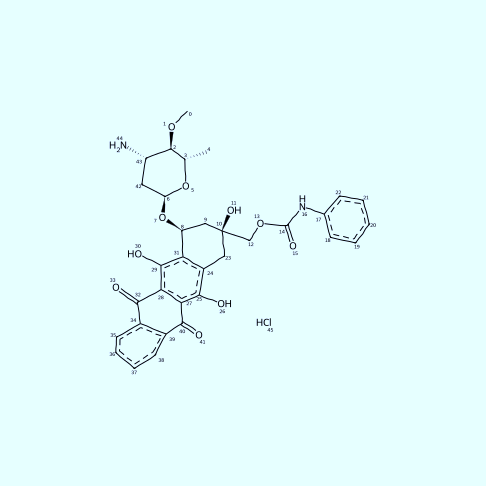 CO[C@H]1[C@H](C)O[C@@H](O[C@H]2C[C@](O)(COC(=O)Nc3ccccc3)Cc3c(O)c4c(c(O)c32)C(=O)c2ccccc2C4=O)C[C@@H]1N.Cl